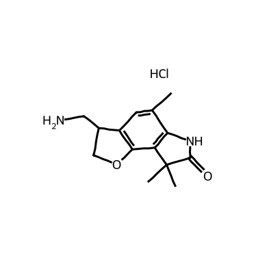 Cc1cc2c(c3c1NC(=O)C3(C)C)OCC2CN.Cl